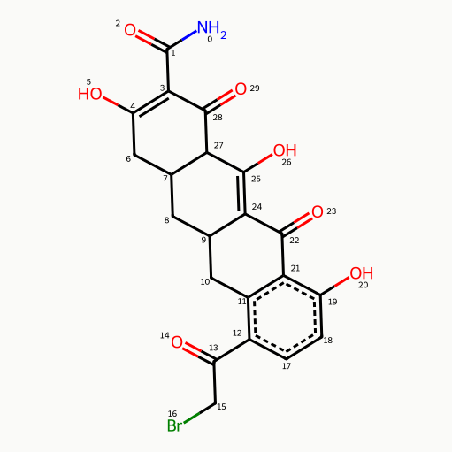 NC(=O)C1=C(O)CC2CC3Cc4c(C(=O)CBr)ccc(O)c4C(=O)C3=C(O)C2C1=O